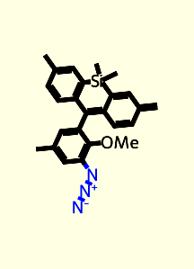 C=c1ccc2c(c1)[Si](C)(C)c1cc(C)ccc1C=2c1cc(C)cc(N=[N+]=[N-])c1OC